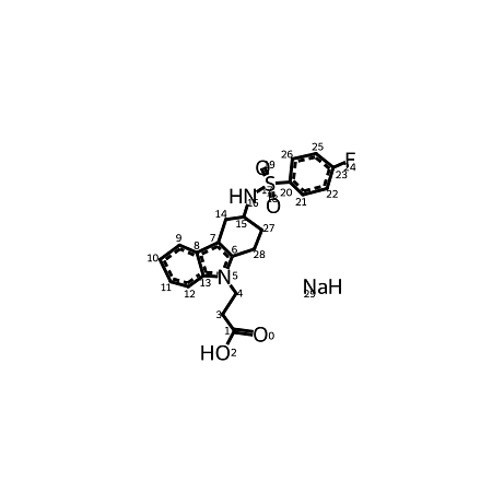 O=C(O)CCn1c2c(c3ccccc31)CC(NS(=O)(=O)c1ccc(F)cc1)CC2.[NaH]